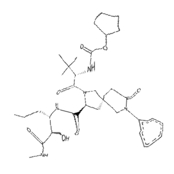 CCC[C@H](NC(=O)[C@@H]1C[C@@]2(CC(=O)N(c3ccccc3)C2)CN1C(=O)[C@@H](NC(=O)OC1CCCC1)C(C)(C)C)C(O)C(=O)NC